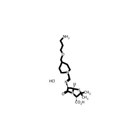 CC1(C)S[C@@H]2[C@H](N=CN3CCC(COCCCN)CC3)C(=O)N2[C@H]1C(=O)O.Cl